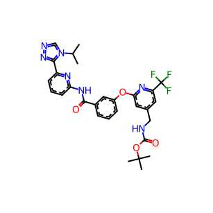 CC(C)n1cnnc1-c1cccc(NC(=O)c2cccc(Oc3cc(CNC(=O)OC(C)(C)C)cc(C(F)(F)F)n3)c2)n1